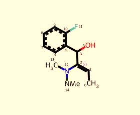 C/C=C(/C(O)c1ccccc1F)N(C)NC